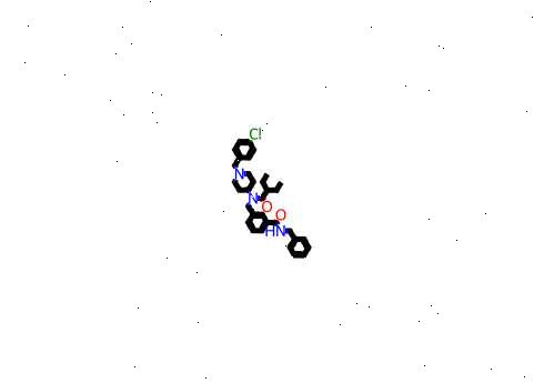 CCC(CC)C(=O)N(Cc1cccc(C(=O)NCc2ccccc2)c1)C1CCN(Cc2ccc(Cl)cc2)CC1